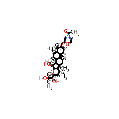 CC(=O)N1CCOC(OC2CCC34CC35CCC3(C)C6C(OC(C(O)C(C)(C)O)C[C@H]6C)[C@H](O)[C@@]3(C)C5CC[C@H]4C2(C)C)C1